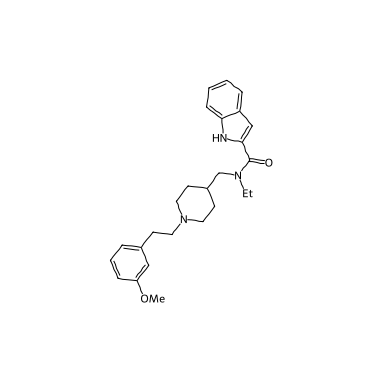 CCN(CC1CCN(CCc2cccc(OC)c2)CC1)C(=O)c1cc2ccccc2[nH]1